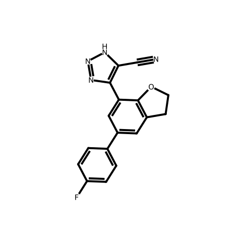 N#Cc1[nH]nnc1-c1cc(-c2ccc(F)cc2)cc2c1OCC2